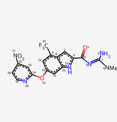 CNC(N)=NC(=O)c1cc2c(C(F)(F)F)cc(Oc3cc([N+](=O)[O-])ccn3)cc2[nH]1